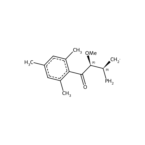 [CH2][C@@H](P)[C@H](OC)C(=O)c1c(C)cc(C)cc1C